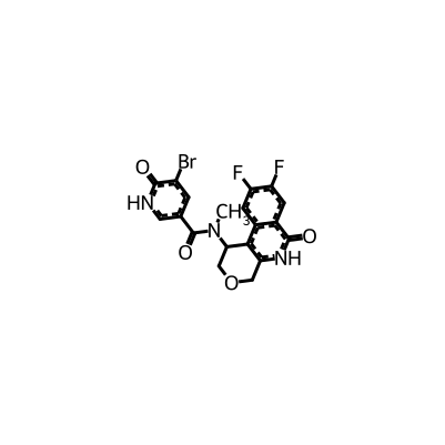 CN(C(=O)c1c[nH]c(=O)c(Br)c1)C1COCc2[nH]c(=O)c3cc(F)c(F)cc3c21